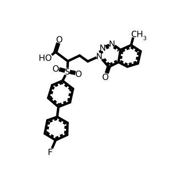 Cc1cccc2c(=O)n(CCC(C(=O)O)S(=O)(=O)c3ccc(-c4ccc(F)cc4)cc3)nnc12